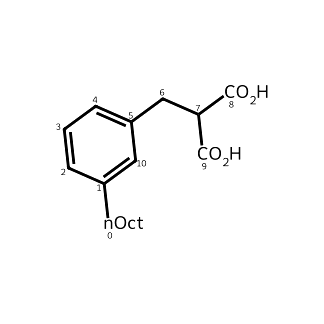 CCCCCCCCc1cccc(CC(C(=O)O)C(=O)O)c1